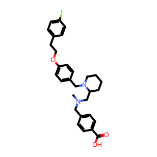 CN(Cc1ccc(C(=O)O)cc1)CC1CCCCN1Cc1ccc(OCCc2ccc(F)cc2)cc1